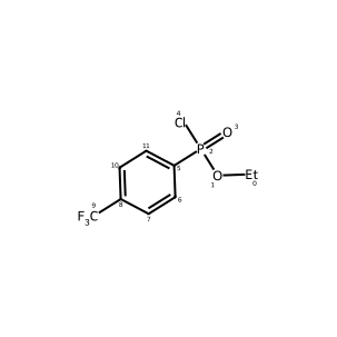 CCOP(=O)(Cl)c1ccc(C(F)(F)F)cc1